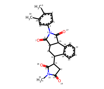 Cc1ccc(N2C(=O)C3CC(C4CC(=O)N(C)C4=O)c4ccccc4C3C2=O)cc1C